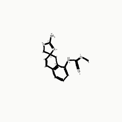 COC(=O)Nc1cccc2c1CC1(CC2)COC(N)=N1